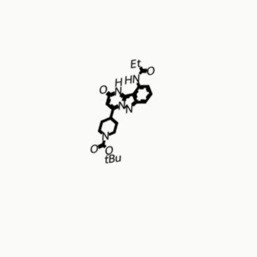 CCC(=O)Nc1cccc2nn3c(C4CCN(C(=O)OC(C)(C)C)CC4)cc(=O)[nH]c3c12